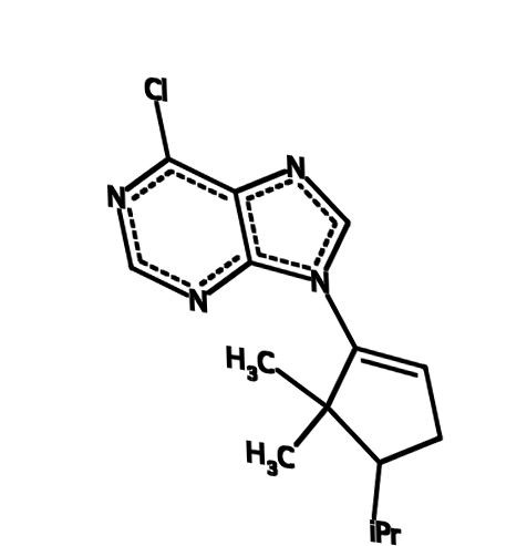 CC(C)C1CC=C(n2cnc3c(Cl)ncnc32)C1(C)C